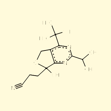 CC(C)c1nc(C(C)(C)C)c2c(n1)C(C)(CCC#N)OC2